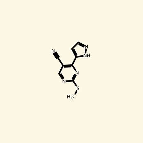 CSc1ncc(C#N)c(-c2ccn[nH]2)n1